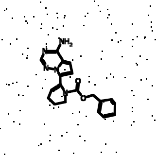 Nc1ncnn2c(C3=CCCCN3C(=O)OCc3ccccc3)ccc12